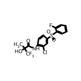 CC(O)(C(=O)Nc1ccc(S(=O)(=O)c2ccccc2F)cc1Cl)C(F)(F)F